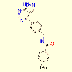 CC(C)(C)c1ccc(C(=O)NCc2ccc(-c3ncnc4[nH]ncc34)cc2)cc1